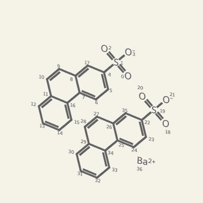 O=S(=O)([O-])c1ccc2c(ccc3ccccc32)c1.O=S(=O)([O-])c1ccc2c(ccc3ccccc32)c1.[Ba+2]